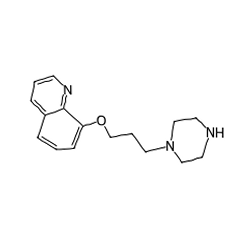 c1cnc2c(OCCCN3CCNCC3)cccc2c1